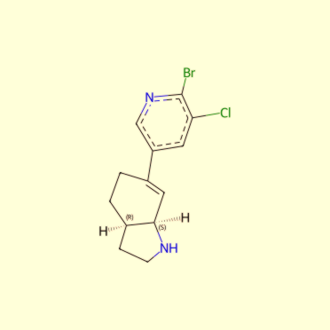 Clc1cc(C2=C[C@H]3NCC[C@H]3CC2)cnc1Br